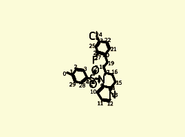 Cc1ccc(S(=O)(=O)N2c3cccnc3CCC2CCc2ccc(Cl)cc2F)cc1